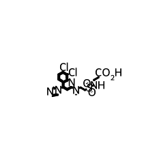 CN(CCS(=O)(=O)NCCC(=O)O)c1cc(-n2ccnc2)c2ccc(Cl)c(Cl)c2n1